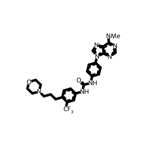 CNc1ncnc2c1ncn2-c1ccc(NC(=O)Nc2ccc(CCCN3CCOCC3)c(C(F)(F)F)c2)cc1